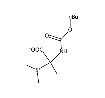 CCCCOC(=O)NC(C)(C(=O)[O-])[S+](C)C